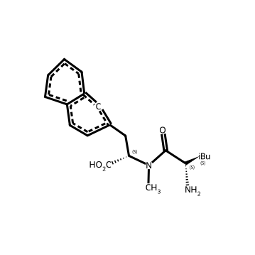 CC[C@H](C)[C@H](N)C(=O)N(C)[C@@H](Cc1ccc2ccccc2c1)C(=O)O